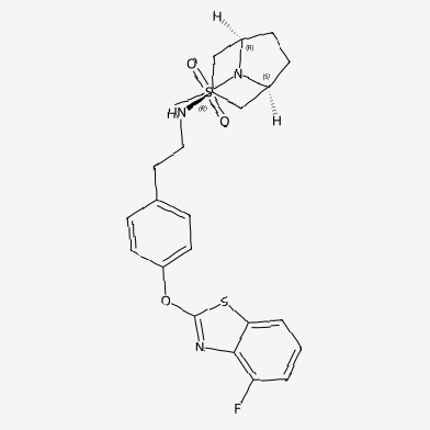 CS(=O)(=O)N1[C@@H]2CC[C@H]1C[C@@H](NCCc1ccc(Oc3nc4c(F)cccc4s3)cc1)C2